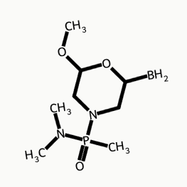 BC1CN(P(C)(=O)N(C)C)CC(OC)O1